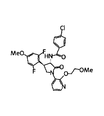 COCCOc1ncccc1N1C[C@@H](c2c(F)cc(OC)cc2F)[C@H](NC(=O)c2ccc(Cl)cc2)C1=O